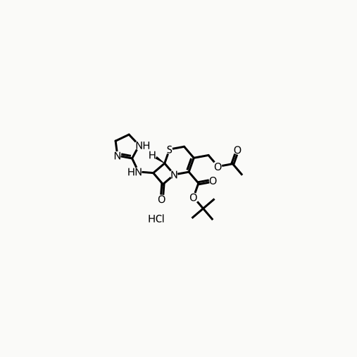 CC(=O)OCC1=C(C(=O)OC(C)(C)C)N2C(=O)C(NC3=NCCN3)[C@@H]2SC1.Cl